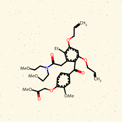 C=CCOc1cc(OCC=C)c(C(=O)c2ccc(OCC(=O)OC)c(OC)c2)c(CC(=O)N(CCOC)CCOC)c1CC